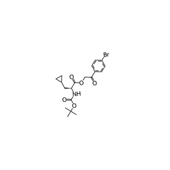 CC(C)(C)OC(=O)N[C@@H](CC1CC1)C(=O)OCC(=O)c1ccc(Br)cc1